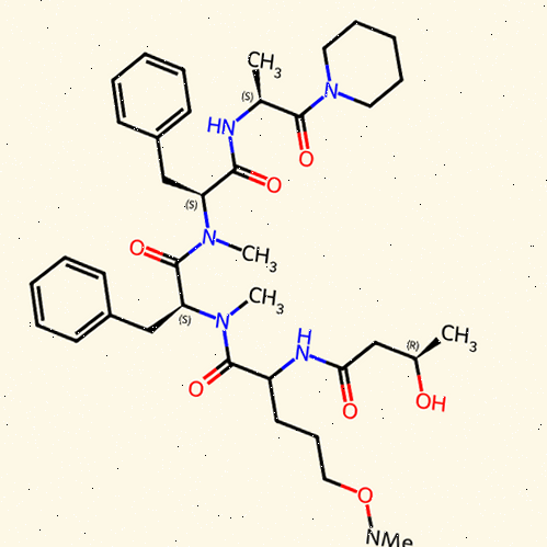 CNOCCCC(NC(=O)C[C@@H](C)O)C(=O)N(C)[C@@H](Cc1ccccc1)C(=O)N(C)[C@@H](Cc1ccccc1)C(=O)N[C@@H](C)C(=O)N1CCCCC1